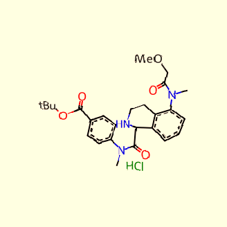 COCC(=O)N(C)c1cccc2c1CCNC2C(=O)N(C)c1ccc(C(=O)OC(C)(C)C)cc1.Cl